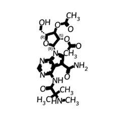 CNC(C)(C)C(=O)Nc1ncnc2c1c(C(N)=O)cn2[C@@H]1O[C@H](CO)C(OC(C)=O)[C@@H]1OC(C)=O